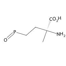 C[C@](N)(CCP=O)C(=O)O